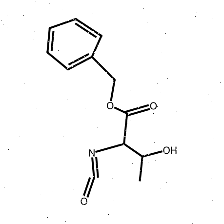 CC(O)C(N=C=O)C(=O)OCc1ccccc1